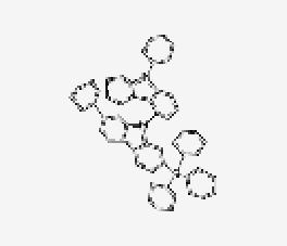 c1ccc(-c2ccc3c4ccc([Si](c5ccccc5)(c5ccccc5)c5ccccc5)cc4n(-c4cccc5c4c4ccccc4n5-c4ccccc4)c3c2)cc1